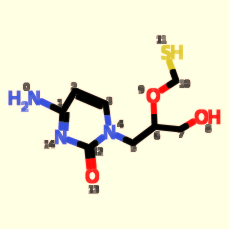 Nc1ccn(CC(CO)OCS)c(=O)n1